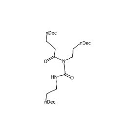 CCCCCCCCCCCCNC(=O)N(CCCCCCCCCCCC)C(=O)CCCCCCCCCCCC